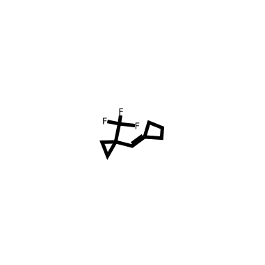 FC(F)(F)C1(C=C2CCC2)CC1